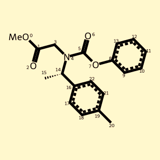 COC(=O)CN(C(=O)Oc1ccccc1)[C@@H](C)c1ccc(C)cc1